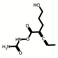 CC=C=C(CCCO)C(=O)ONC(N)=O